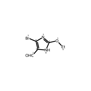 CCOc1nc(Br)c(C=O)[nH]1